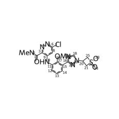 CNC(=O)c1nnc(Cl)cc1Nc1cccc(-c2ncn(C3CS(=O)(=O)C3)n2)c1OC